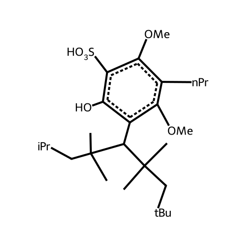 CCCc1c(OC)c(C(C(C)(C)CC(C)C)C(C)(C)CC(C)(C)C)c(O)c(S(=O)(=O)O)c1OC